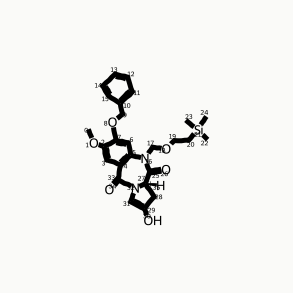 COc1cc2c(cc1OCc1ccccc1)N(COCC[Si](C)(C)C)C(=O)[C@@H]1CC(O)=CN1C2=O